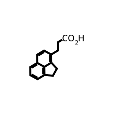 O=C(O)CCc1ccc2cccc3c2c1CC3